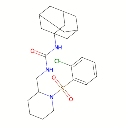 O=C(NCC1CCCCN1S(=O)(=O)c1ccccc1Cl)NC12CC3CC(CC(C3)C1)C2